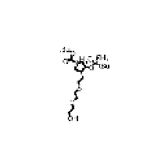 CC(C)(C)OC(=O)N1C[C@H](CCSCCOCCO)[C@@H](O[Si](C)(C)C(C)(C)C)C1